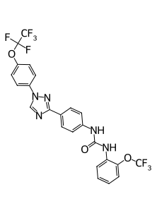 O=C(Nc1ccc(-c2ncn(-c3ccc(OC(F)(F)C(F)(F)F)cc3)n2)cc1)Nc1ccccc1OC(F)(F)F